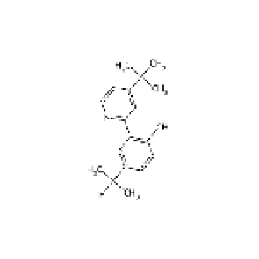 Cc1ccc(C(C)(C)F)cc1-c1cc(C(C)(C)C)ccn1